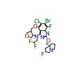 Fc1c(Br)c(Cl)c2c3c(nc(OC[C@@]45CCCN4C[C@H](F)C5)nc13)N(CC(F)F)C1COCC1CO2